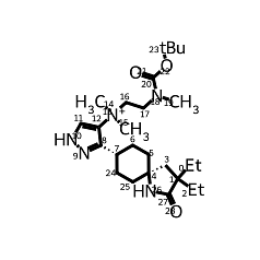 CCC1(CC)C[C@]2(CC[C@@H](c3n[nH]cc3[N+](C)(C)CCN(C)C(=O)OC(C)(C)C)CC2)NC1=O